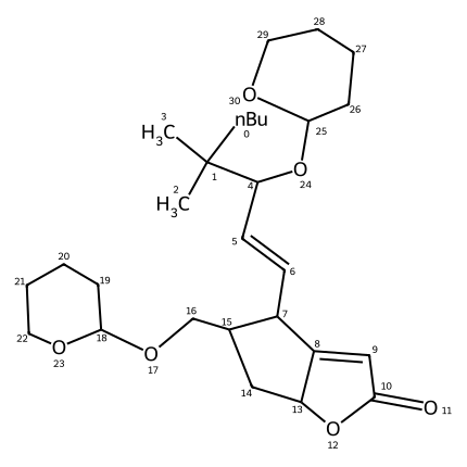 CCCCC(C)(C)C(/C=C/C1C2=CC(=O)OC2CC1COC1CCCCO1)OC1CCCCO1